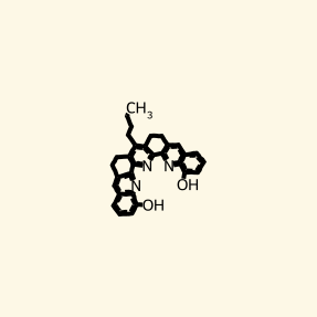 CCCCc1c2c(nc3c1CCc1cc4cccc(O)c4nc1-3)-c1nc3c(O)cccc3cc1CC2